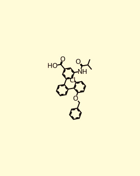 CC(C)C(=O)Nc1cc(C(=O)O)cc(-c2ccccc2-c2c(Cl)cccc2OCc2ccccc2)c1